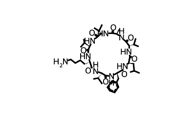 CC(C)C[C@H]1NC(=O)[C@@H](Cc2ccccc2)NC(=O)[C@H](C(C)C)NC(=O)[C@H](CCCCN)NC(=O)[C@@H](C(C)C)NC(=O)[C@H](C(C)C)NC(=O)[C@@H](C)NC(=O)[C@H](C(C)C)NC1=O